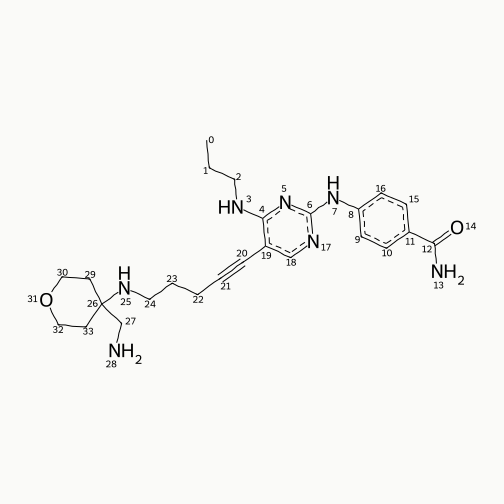 CCCNc1nc(Nc2ccc(C(N)=O)cc2)ncc1C#CCCCNC1(CN)CCOCC1